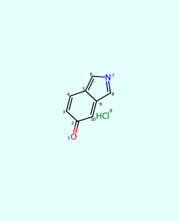 Cl.O=C1C=CC2=CN=CC2=C1